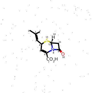 CC(C)=CC1C=C(C(=O)O)N2C(=O)C[C@H]2S1